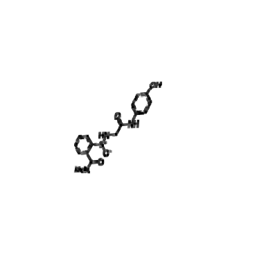 CNC(=O)c1ccccc1[S+]([O-])NCC(=O)Nc1ccc(O)cc1